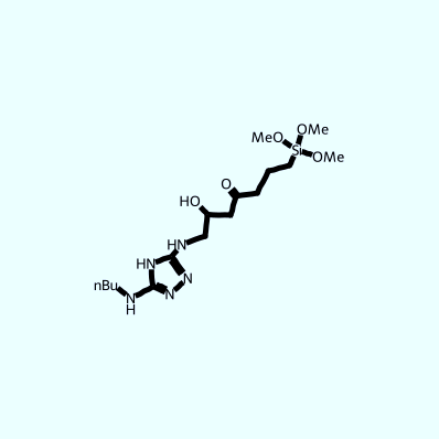 CCCCNc1nnc(NCC(O)CC(=O)CCC[Si](OC)(OC)OC)[nH]1